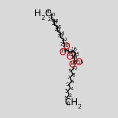 C=CCCCCCCCCCOC(=O)c1ccc(C(=O)OCCCCCCCCCC=C)o1